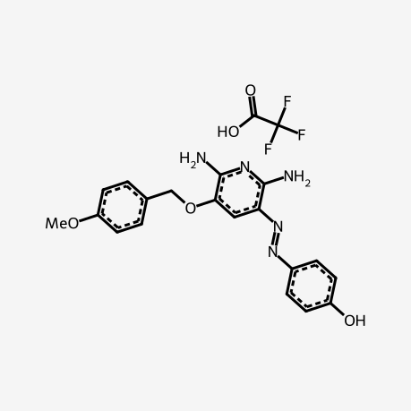 COc1ccc(COc2cc(N=Nc3ccc(O)cc3)c(N)nc2N)cc1.O=C(O)C(F)(F)F